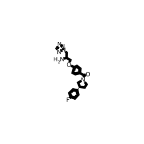 NC(COc1ccc(C(=O)N2CC[C@H](c3ccc(F)cc3)C2)cc1)Cn1ncnn1